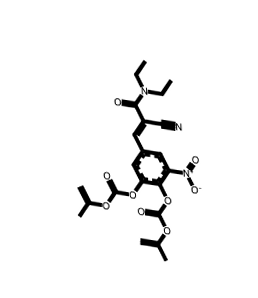 C=C(C)OC(=O)Oc1cc(/C=C(\C#N)C(=O)N(CC)CC)cc([N+](=O)[O-])c1OC(=O)OC(=C)C